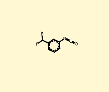 O=C=Nc1cccc(C(F)F)c1